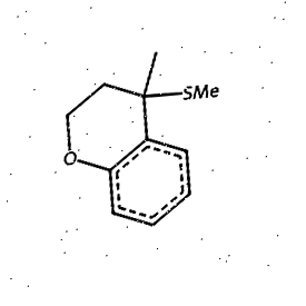 CSC1(C)CCOc2ccccc21